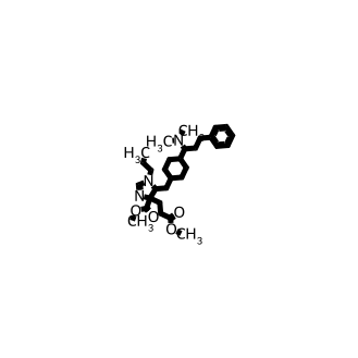 CCCN1C=NC(CCC(=O)OC)(C(=O)OC)C1CC1CCC(C(CCc2ccccc2)N(C)C)CC1